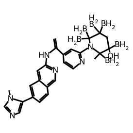 BC1(B)CC(B)(O)C(B)(C)N(c2cc(C(=C)Nc3cc4cc(-c5cncn5C)ccc4cn3)ccn2)C1(B)B